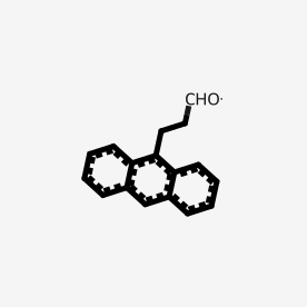 O=[C]CCc1c2ccccc2cc2ccccc12